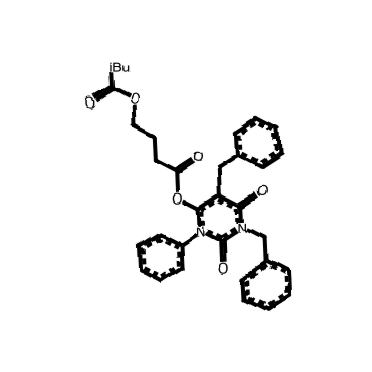 CCC(C)C(=O)OCCCC(=O)Oc1c(Cc2ccccc2)c(=O)n(Cc2ccccc2)c(=O)n1-c1ccccc1